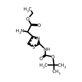 CCOC(=O)C(N)c1csc(NC(=O)OC(C)(C)C)n1